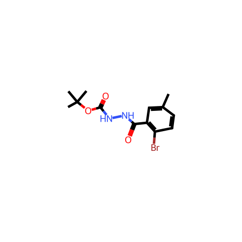 Cc1ccc(Br)c(C(=O)NNC(=O)OC(C)(C)C)c1